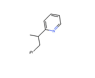 CC(C)CC(C)c1ccccn1